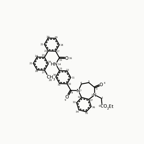 CCOC(=O)CN1C(=O)CCN(C(=O)c2ccc(NC(=O)c3ccccc3-c3cccc(C)c3)cc2)c2ccccc21